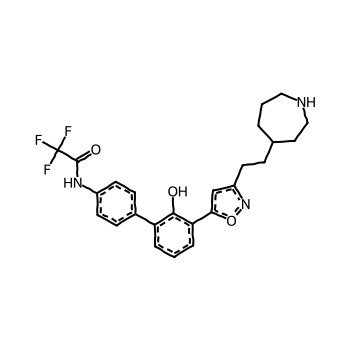 O=C(Nc1ccc(-c2cccc(-c3cc(CCC4CCCNCC4)no3)c2O)cc1)C(F)(F)F